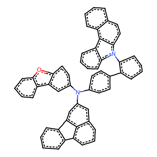 c1ccc2c(c1)-c1cccc3cc(N(c4ccc(-c5ccccc5-n5c6ccccc6c6c7ccccc7ccc65)cc4)c4ccc5oc6ccccc6c5c4)cc-2c13